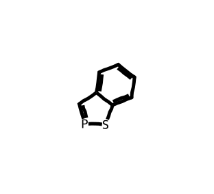 c1ccc2spcc2c1